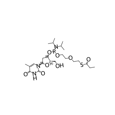 CCC(=O)SCCOCCOP(O[C@@H]1C[C@H](n2cc(C)c(=O)[nH]c2=O)O[C@@H]1CO)N(C(C)C)C(C)C